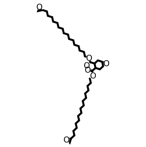 O=C(OCCCCCCCCCCCCCCCCC1CO1)C1CC2OC2CC1C(=O)OCCCCCCCCCCCCCCCCC1CO1